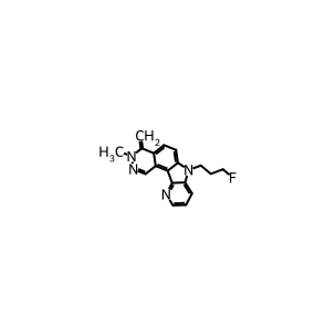 C=C1c2ccc3c(c2C=NN1C)c1ncccc1n3CCCF